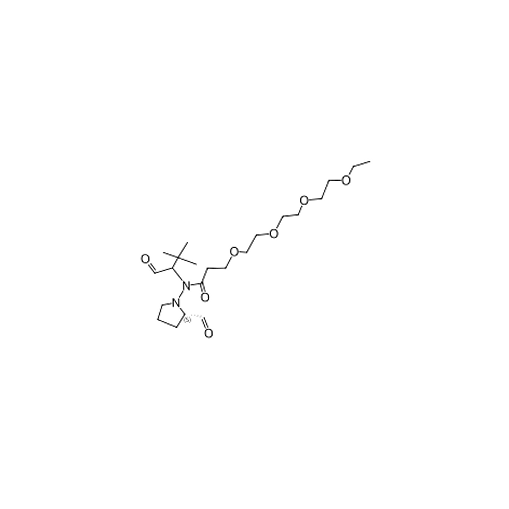 CCOCCOCCOCCOCCC(=O)N(C(C=O)C(C)(C)C)N1CCC[C@H]1C=O